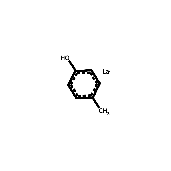 Cc1ccc(O)cc1.[La]